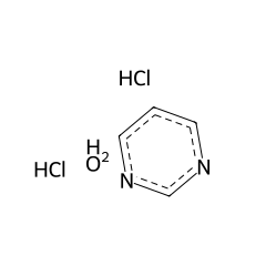 Cl.Cl.O.c1cncnc1